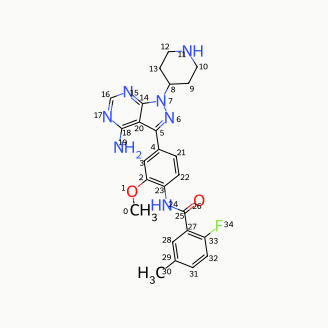 COc1cc(-c2nn(C3CCNCC3)c3ncnc(N)c23)ccc1NC(=O)c1cc(C)ccc1F